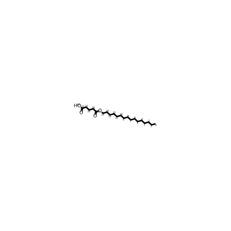 CCCCCCCCCCCCCCCCOC(=O)CCCC(=O)O